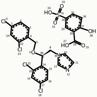 Clc1ccc(CO[C@@H](Cn2ccnc2)c2ccc(Cl)cc2Cl)c(Cl)c1.O=C(O)c1cc(S(=O)(=O)O)ccc1O